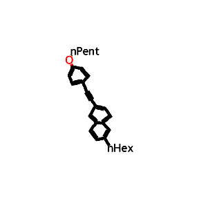 CCCCCCc1ccc2cc(C#Cc3ccc(OCCCCC)cc3)ccc2c1